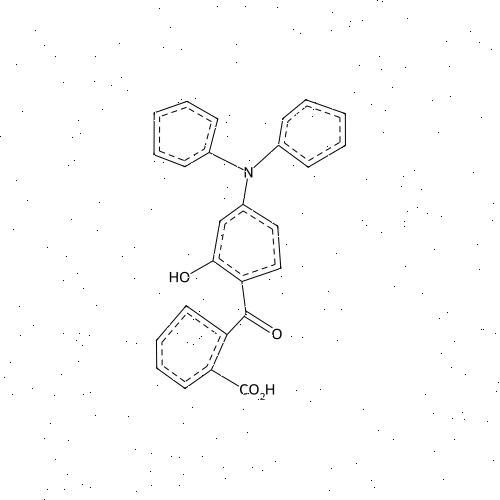 O=C(O)c1ccccc1C(=O)c1ccc(N(c2ccccc2)c2ccccc2)cc1O